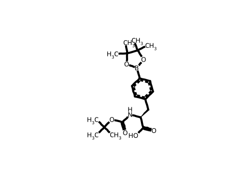 CC(C)(C)OC(=O)N[C@@H](Cc1ccc(B2OC(C)(C)C(C)(C)O2)cc1)C(=O)O